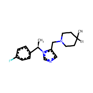 CCC1(C#N)CCN(Cc2cncn2[C@H](C)c2ccc(F)cc2)CC1